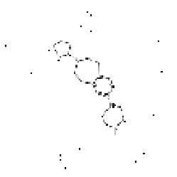 c1cc2c(cc1N1CCNCC1)CCN(C1CCCC1)CC2